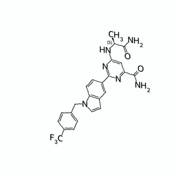 C[C@H](Nc1cc(C(N)=O)nc(-c2ccc3c(ccn3Cc3ccc(C(F)(F)F)cc3)c2)n1)C(N)=O